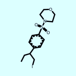 CCC(CI)c1ccc(S(=O)(=O)N2CCOCC2)cc1